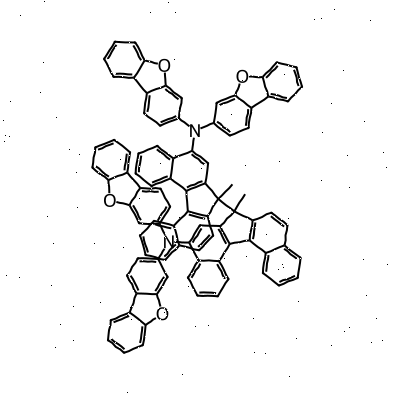 CC1(C2(C)c3ccc4ccccc4c3-c3c2cc(N(c2ccc4c(c2)oc2ccccc24)c2ccc4c(c2)oc2ccccc24)c2ccccc32)c2ccc3ccccc3c2-c2c1cc(N(c1ccc3c(c1)oc1ccccc13)c1ccc3c(c1)oc1ccccc13)c1ccccc21